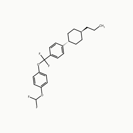 CCC[C@H]1CC[C@H](c2ccc(C(F)(F)Oc3ccc(OC(F)F)cc3)cc2)CC1